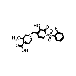 CC1CN(Cc2ccn(S(=O)(=O)c3ccccc3F)c(=O)c2O)CCN1C(=O)O